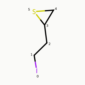 ICCC1CS1